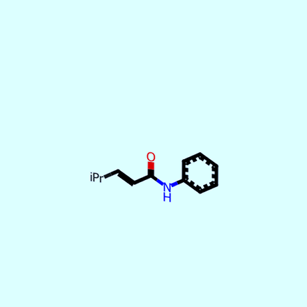 CC(C)/C=C/C(=O)Nc1ccccc1